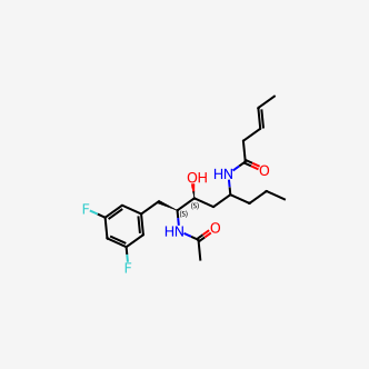 CC=CCC(=O)NC(CCC)C[C@H](O)[C@H](Cc1cc(F)cc(F)c1)NC(C)=O